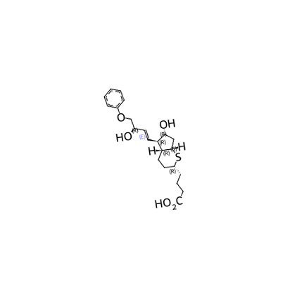 O=C(O)CCC[C@@H]1CC[C@@H]2[C@@H](/C=C/[C@@H](O)COc3ccccc3)[C@H](O)C[C@@H]2S1